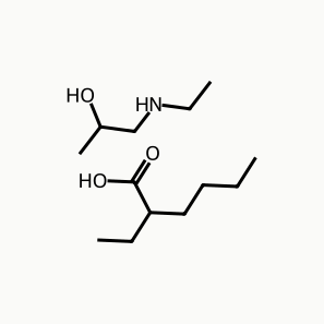 CCCCC(CC)C(=O)O.CCNCC(C)O